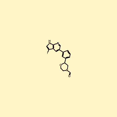 O=CN1CCOC(c2cccc(-c3cnc4[nH]cc(I)c4c3)c2)C1